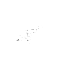 C=C(C)C(=O)Oc1cc(-c2ccc(C3CCC(CCCCC)CC3)cc2F)cc(OC(=O)C(=C)C)c1OCC1COC(=O)OC1